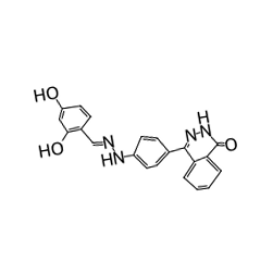 O=c1[nH]nc(-c2ccc(N/N=C/c3ccc(O)cc3O)cc2)c2ccccc12